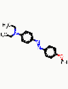 CCN(CC)c1ccc(N=Nc2ccc(OC)cc2)cc1